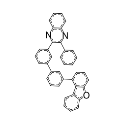 c1ccc(-c2nc3ccccc3nc2-c2cccc(-c3cccc(-c4cccc5oc6ccccc6c45)c3)c2)cc1